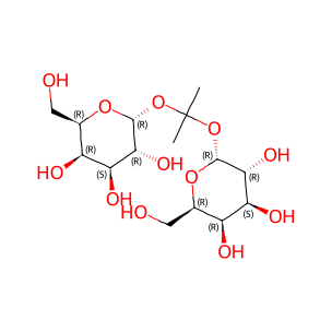 CC(C)(O[C@H]1O[C@H](CO)[C@H](O)[C@H](O)[C@H]1O)O[C@H]1O[C@H](CO)[C@H](O)[C@H](O)[C@H]1O